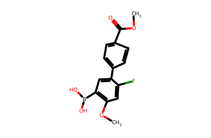 COC(=O)c1ccc(-c2cc(B(O)O)c(OC)cc2F)cc1